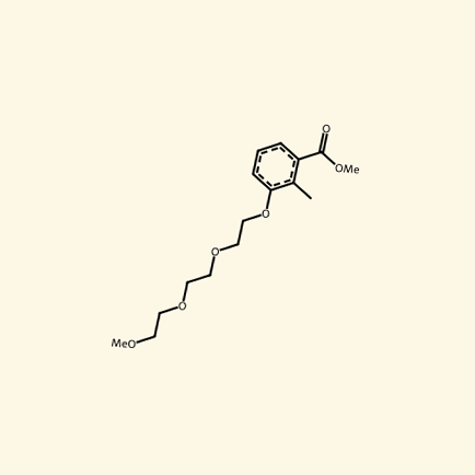 COCCOCCOCCOc1cccc(C(=O)OC)c1C